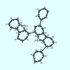 c1ccc(-c2cc(-c3cccc4c3oc3ccccc34)c3oc4c(-c5ccccc5)cccc4c3c2)cc1